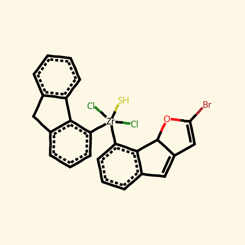 [SH][Zr]([Cl])([Cl])([c]1cccc2c1-c1ccccc1C2)[c]1cccc2c1C1OC(Br)=CC1=C2